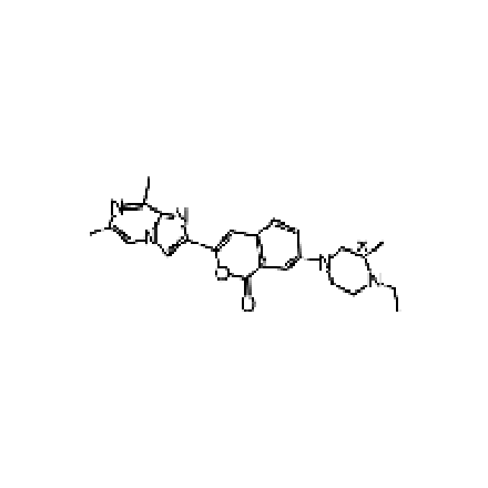 CCN1CCN(c2ccc3cc(-c4cn5cc(C)nc(C)c5n4)oc(=O)c3c2)C[C@H]1C